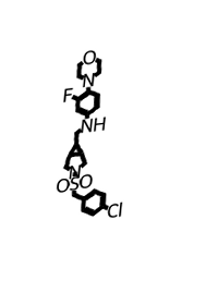 O=S(=O)(Cc1ccc(Cl)cc1)N1CC2C(CNc3ccc(N4CCOCC4)c(F)c3)C2C1